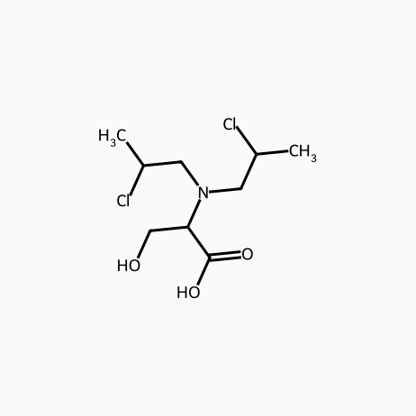 CC(Cl)CN(CC(C)Cl)C(CO)C(=O)O